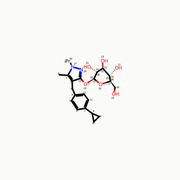 Cc1c(Cc2ccc(C3CC3)cc2)c(O[C@@H]2O[C@H](CO)[C@@H](O)[C@H](O)[C@H]2O)nn1C(C)C